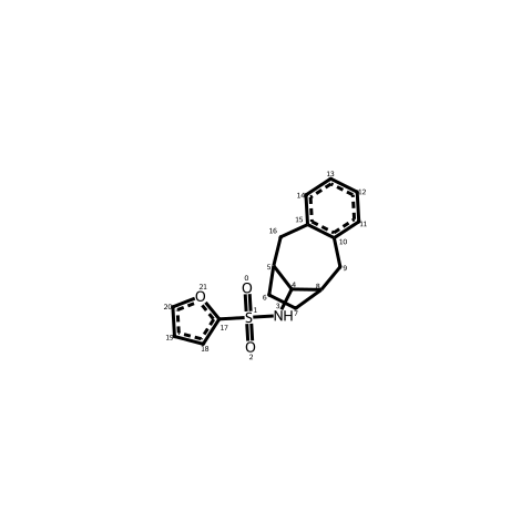 O=S(=O)(NC1C2CCC1Cc1ccccc1C2)c1ccco1